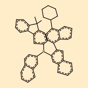 CC1(C)c2ccccc2-c2cc(N(c3ccc4ccccc4c3)c3cc4ccccc4cc3-c3ccc(C4CCCCC4)c4ccccc34)ccc21